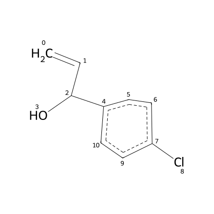 C=CC(O)c1ccc(Cl)cc1